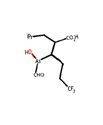 CC(C)CC(C(=O)O)C(CCC(F)(F)F)[As](O)C=O